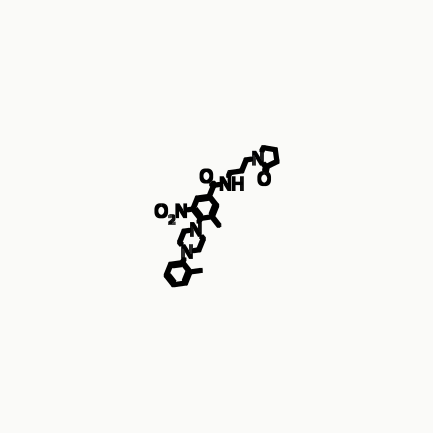 Cc1ccccc1N1CCN(c2c(C)cc(C(=O)NCCCN3CCCC3=O)cc2[N+](=O)[O-])CC1